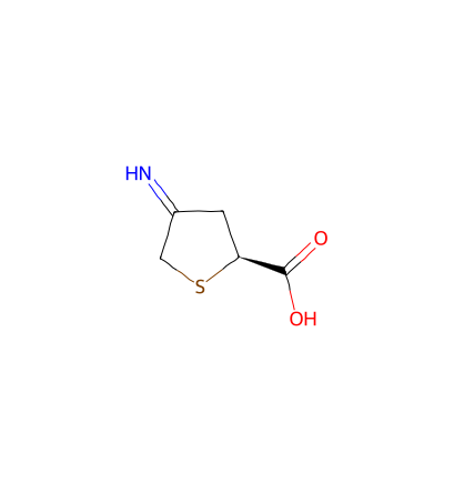 N=C1CS[C@H](C(=O)O)C1